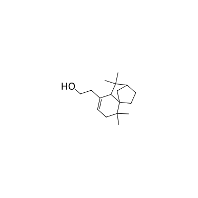 CC1(C)C2CCC3(C2)C1C(CCO)=CCC3(C)C